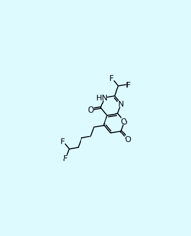 O=c1cc(CCCCC(F)F)c2c(=O)[nH]c(C(F)F)nc2o1